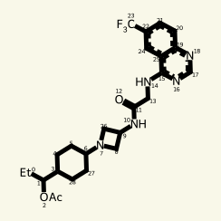 CCC(OC(C)=O)C1CCC(N2CC(NC(=O)CNc3ncnc4ccc(C(F)(F)F)cc34)C2)CC1